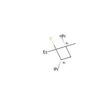 CCC[C@]1(C)C[C@H](C(C)C)C1(F)CC